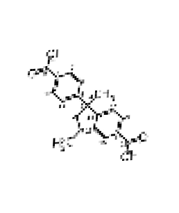 CCCC(C)(c1ccc(C(=O)O)cc1)c1ccc(C(=O)O)cc1